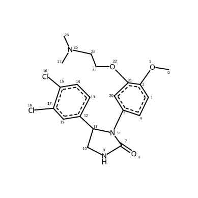 COc1ccc(N2C(=O)NCC2c2ccc(Cl)c(Cl)c2)cc1OCCN(C)C